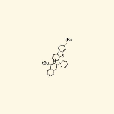 CC(C)(C)Cc1ccc2c(c1)sc1c(C3(c4cc(C(C)(C)C)c5ccccc5c4)C=CC=CC3)nccc12